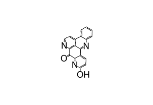 O=C1c2nc(O)ccc2-c2nc3ccccc3c3ccnc1c23